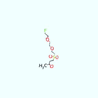 CC(=O)/C=C/S(=O)(=O)CCOCCOCCF